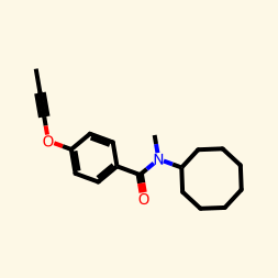 CC#COc1ccc(C(=O)N(C)C2CCCCCCC2)cc1